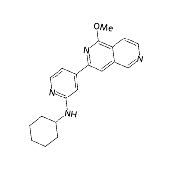 COc1nc(-c2ccnc(NC3CCCCC3)c2)cc2cnccc12